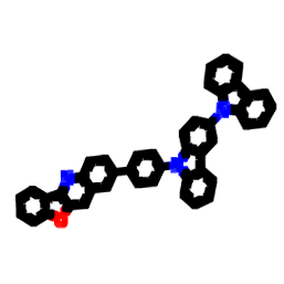 c1ccc2c(c1)oc1cc3cc(-c4ccc(-n5c6ccccc6c6cc(-n7c8ccccc8c8ccccc87)ccc65)cc4)ccc3nc12